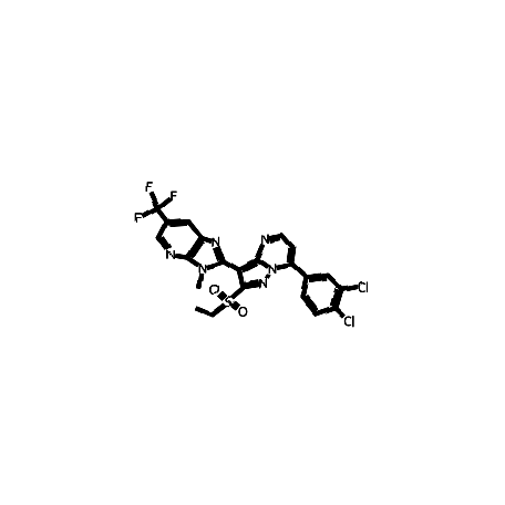 CCS(=O)(=O)c1nn2c(-c3ccc(Cl)c(Cl)c3)ccnc2c1-c1nc2cc(C(F)(F)F)cnc2n1C